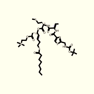 C/C=C(\NC(=O)c1csc(CNC(=O)OC(C)(C)C)n1)C(=O)N[C@@H](CCSC)C(=O)O[C@H](/C=C/CCSC(=O)CCCCCCC)CC(=O)OCCS(C)(C)C